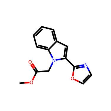 COC(=O)Cn1c(-c2ncco2)cc2ccccc21